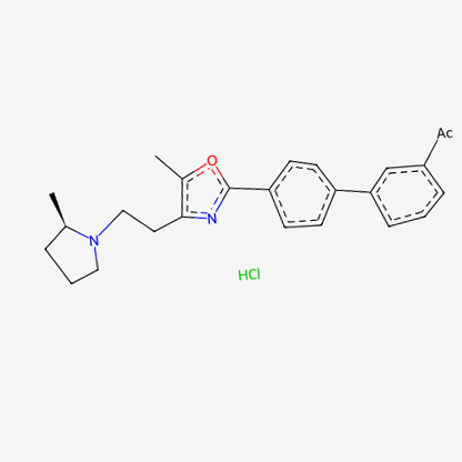 CC(=O)c1cccc(-c2ccc(-c3nc(CCN4CCC[C@H]4C)c(C)o3)cc2)c1.Cl